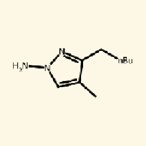 CCCCCc1nn(N)cc1C